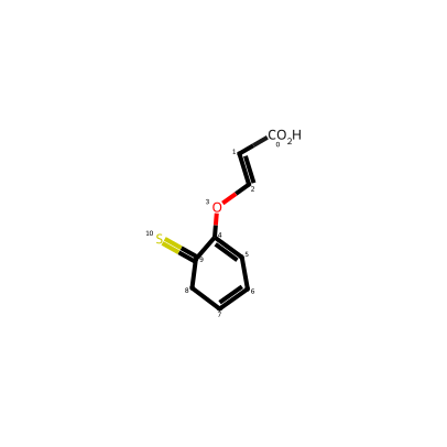 O=C(O)C=COC1=CC=CCC1=S